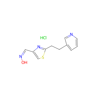 Cl.O/N=C\c1csc(CCc2cccnc2)n1